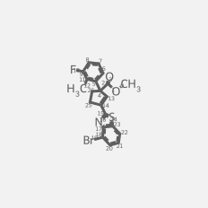 COC(=O)C1(c2cccc(F)c2C)C=C(c2nc3c(Br)cccc3s2)CC1